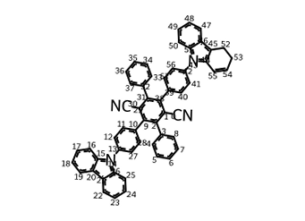 N#Cc1c(-c2ccccc2)c(-c2ccc(-n3c4ccccc4c4ccccc43)cc2)c(C#N)c(-c2ccccc2)c1-c1ccc(-n2c3c(c4ccccc42)CCC=C3)cc1